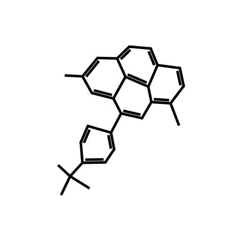 Cc1cc2ccc3ccc(C)c4cc(-c5ccc(C(C)(C)C)cc5)c(c1)c2c34